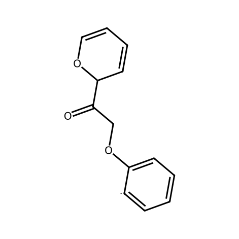 O=C(COc1[c]cccc1)C1C=CC=CO1